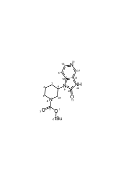 CC(C)(C)OC(=O)N1CCCC(n2c(=O)[nH]c3cnccc32)C1